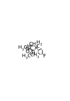 C[C@H]1C[C@@](C)(c2ccc(F)cc2)C[C@@H]2[C@@H]1N(C)OC2(C)C